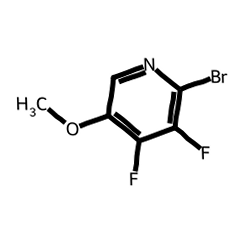 COc1cnc(Br)c(F)c1F